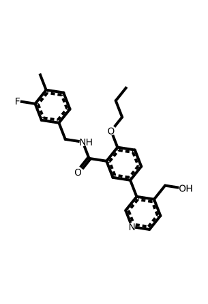 CCCOc1ccc(-c2cnccc2CO)cc1C(=O)NCc1ccc(C)c(F)c1